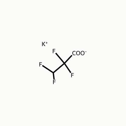 O=C([O-])C(F)(F)C(F)F.[K+]